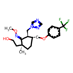 CON=C1[C@@H](Cn2cncn2)[C@H](COc2ccc(C(F)(F)F)cc2)CC[C@@]1(C)CCO